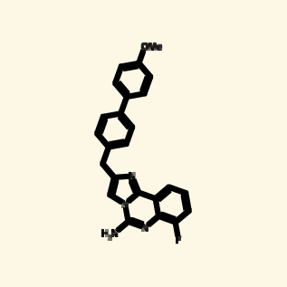 COc1ccc(-c2ccc(Cc3cn4c(N)nc5c(F)cccc5c4n3)cc2)cc1